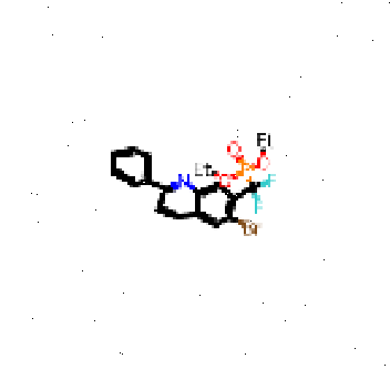 CCOP(=O)(OCC)C(F)(F)c1cc2nc(-c3ccccc3)ccc2cc1Br